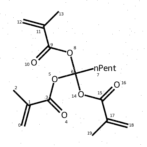 C=C(C)C(=O)OC(CCCCC)(OC(=O)C(=C)C)OC(=O)C(=C)C